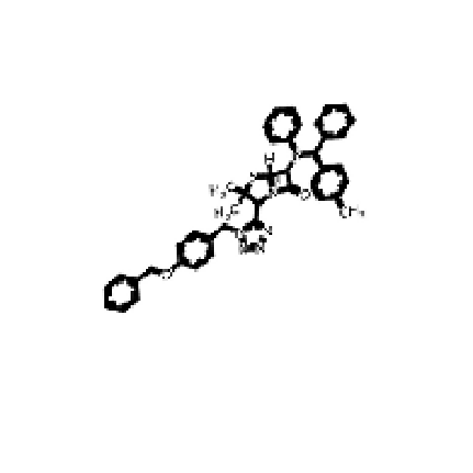 Cc1ccc(C(c2ccccc2)N(c2ccccc2)C2C(=O)N3C(c4nnnn4Cc4ccc(OCc5ccccc5)cc4)C(C)(C)S[C@H]23)cc1